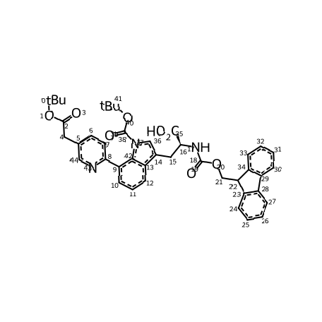 CC(C)(C)OC(=O)Cc1ccc(-c2cccc3c(C[C@H](NC(=O)OCC4c5ccccc5-c5ccccc54)C(=O)O)cn(C(=O)OC(C)(C)C)c23)nc1